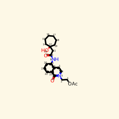 CC(=O)OCCn1ccc2c(NC(=O)CC3(O)CCCCCC3)cccc2c1=O